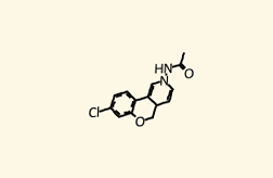 CC(=O)NN1C=CC2COc3cc(Cl)ccc3C2=C1